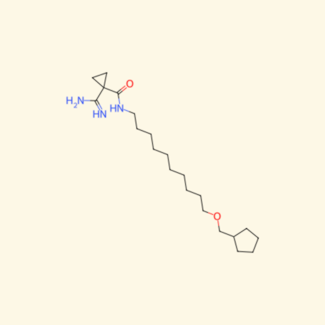 N=C(N)C1(C(=O)NCCCCCCCCCCOCC2CCCC2)CC1